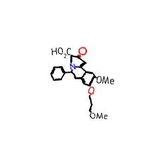 COCCCOc1cc2c(cc1OC)-c1cc(=O)c(C(=O)O)cn1C(c1ccccc1)C2